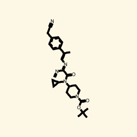 C=N/C(=N\C=C(/C)c1ccc(CC#N)cc1)C(=O)N(C1CC1)C1CCN(C(=O)OC(C)(C)C)CC1